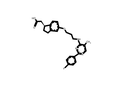 Cc1cnc(-c2ccc(F)cc2)nc1NCCCOc1ccc2c(c1)CC[C@H]2CC(=O)O